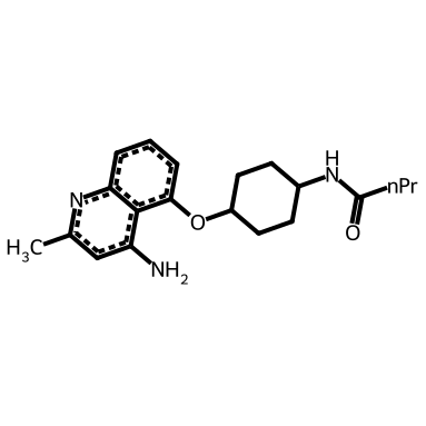 CCCC(=O)NC1CCC(Oc2cccc3nc(C)cc(N)c23)CC1